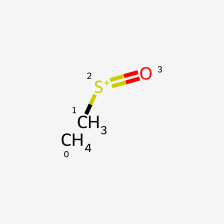 C.C[S+]=O